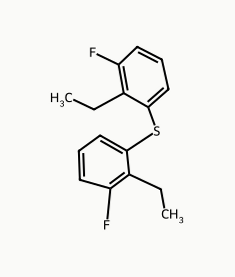 CCc1c(F)cccc1Sc1cccc(F)c1CC